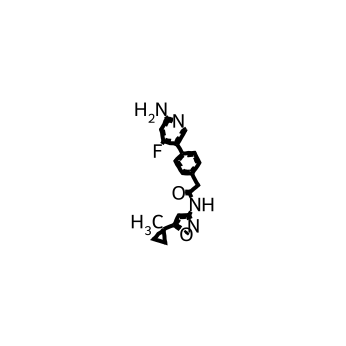 CC1(c2cc(NC(=O)Cc3ccc(-c4cnc(N)cc4F)cc3)no2)CC1